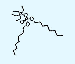 CCCCCCCCOP(=O)(OCCCCCCCC)OP(CC)(CC)(CC)CC